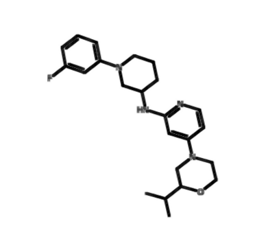 CC(C)C1CN(c2ccnc(NC3CCCN(c4cccc(F)c4)C3)c2)CCO1